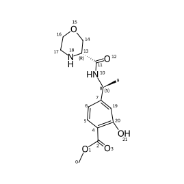 COC(=O)c1ccc([C@H](C)NC(=O)[C@H]2COCCN2)cc1O